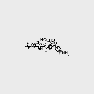 Cn1c(-c2cn(C3CC3(F)F)nc2C(F)(F)F)cnc1C(=O)Nc1ccc(C(=O)N2CCC(F)(CN)CC2)c(Cl)c1.O=CO